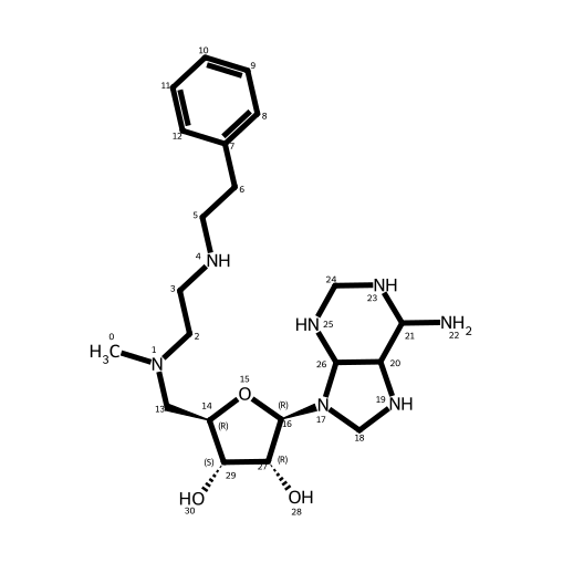 CN(CCNCCc1ccccc1)C[C@H]1O[C@@H](N2CNC3C(N)NCNC32)[C@H](O)[C@@H]1O